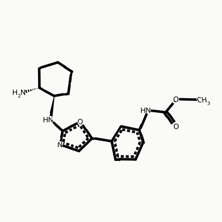 COC(=O)Nc1cccc(-c2cnc(N[C@@H]3CCCC[C@H]3N)o2)c1